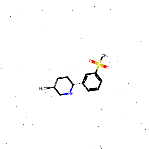 C[C@H]1CC[C@H](c2cccc(S(C)(=O)=O)c2)NC1